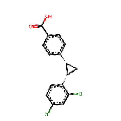 O=C(O)c1ccc([C@@H]2C[C@@H]2c2ccc(Cl)cc2Cl)cc1